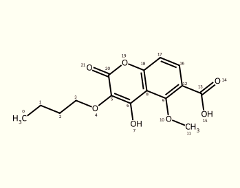 CCCCOc1c(O)c2c(OC)c(C(=O)O)ccc2oc1=O